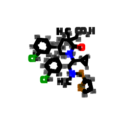 CN(CC(C1CC1)N1C(=O)[C@@](C)(CC(=O)O)C[C@H](c2cccc(Cl)c2)[C@H]1c1ccc(Cl)cc1)Sc1cccs1